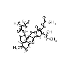 CC[C@H](O)c1cc2n(c(=O)c1COC(=O)[SiH3])Cc1c-2nc2cc(F)c(C)c3c2c1[C@H](NC(=O)[C@H](C)C(F)(F)F)CC3